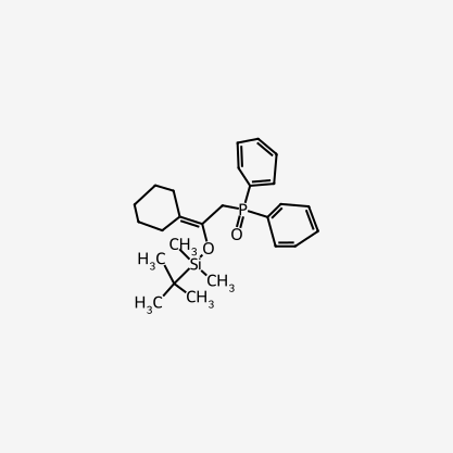 CC(C)(C)[Si](C)(C)OC(CP(=O)(c1ccccc1)c1ccccc1)=C1CCCCC1